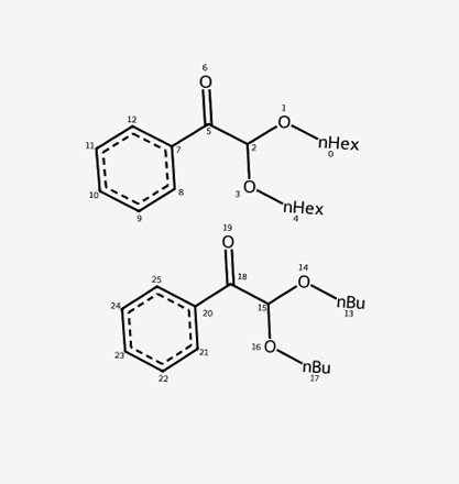 CCCCCCOC(OCCCCCC)C(=O)c1ccccc1.CCCCOC(OCCCC)C(=O)c1ccccc1